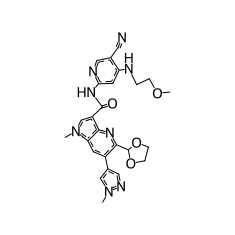 COCCNc1cc(NC(=O)c2cn(C)c3cc(-c4cnn(C)c4)c(C4OCCO4)nc23)ncc1C#N